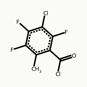 Cc1c(F)c(F)c(Cl)c(F)c1C(=O)Cl